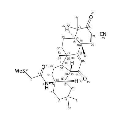 CSCC(=O)N[C@]12CCC(C)(C)C[C@H]1[C@H]1C(=O)C=C3[C@@]4(C)C=C(C#N)C(=O)C(C)(C)[C@@H]4CC[C@@]3(C)[C@]1(C)CC2